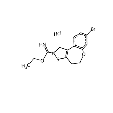 CCOC(=N)N1CC2=C(CCOc3cc(Br)ccc32)S1.Cl